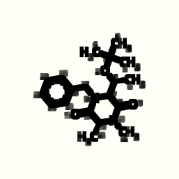 C[C@H](OC(C)(C)C)C1C(=O)N(C)[C@@H](C)C(=O)N1Cc1ccccc1